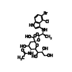 CC(=O)N[C@H]1[C@H]([C@H](O)[C@H](O)CO)O[C@](OC(=O)[C@H](C)Nc2c[nH]c3ccc(Br)c(Cl)c23)(C(=O)O)C[C@@H]1O